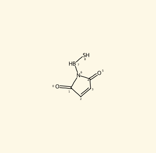 O=C1C=CC(=O)N1BS